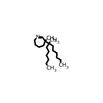 CCCCCCC(C)(CCCCCC)C1(C)C=NCCCC1